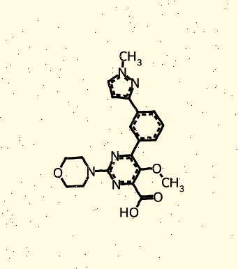 COc1c(C(=O)O)nc(N2CCOCC2)nc1-c1cccc(-c2ccn(C)n2)c1